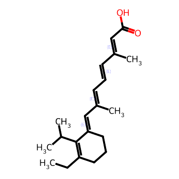 CCC1=C(C(C)C)/C(=C/C(C)=C/C=C/C(C)=C/C(=O)O)CCC1